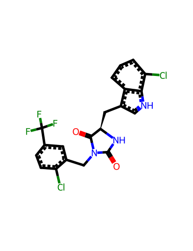 O=C1N[C@H](Cc2c[nH]c3c(Cl)cccc23)C(=O)N1Cc1cc(C(F)(F)F)ccc1Cl